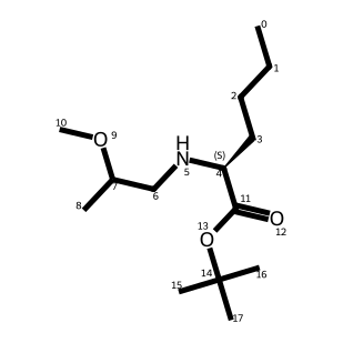 CCCC[C@H](NCC(C)OC)C(=O)OC(C)(C)C